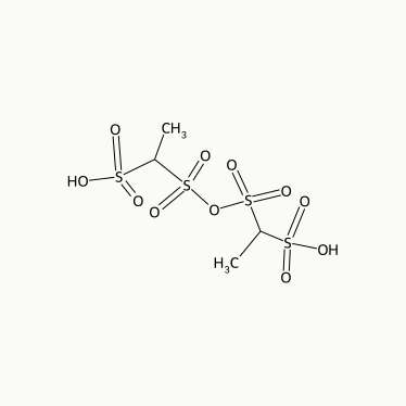 CC(S(=O)(=O)O)S(=O)(=O)OS(=O)(=O)C(C)S(=O)(=O)O